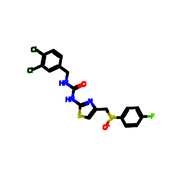 O=C(NCc1ccc(Cl)c(Cl)c1)Nc1nc(C[S+]([O-])c2ccc(F)cc2)cs1